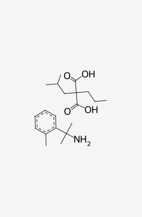 CCCC(CC(C)C)(C(=O)O)C(=O)O.Cc1ccccc1C(C)(C)N